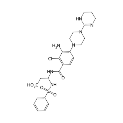 Nc1c(N2CCN(C3=NCCCN3)CC2)ccc(C(=O)NC(CC(=O)O)NS(=O)(=O)c2ccccc2)c1Cl